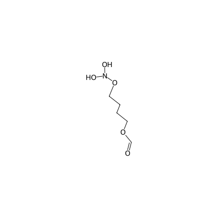 O=COCCCCON(O)O